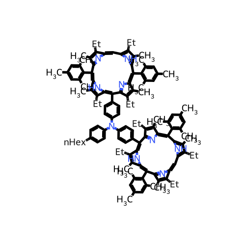 CCCCCCc1ccc(N(c2ccc(-c3c4nc(c(-c5c(C)cc(C)cc5C)c5[nH]c(cc6nc(c(-c7c(C)cc(C)cc7C)c7[nH]c3c(CC)c7C)C(C)=C6CC)c(CC)c5C)C(C)=C4CC)cc2)c2ccc(-c3c4nc(c(-c5c(C)cc(C)cc5C)c5[nH]c(cc6nc(c(-c7c(C)cc(C)cc7C)c7[nH]c3c(CC)c7C)C(C)=C6CC)c(CC)c5C)C(C)=C4CC)cc2)cc1